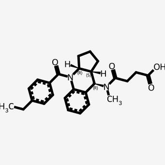 CCc1ccc(C(=O)N2c3ccccc3[C@H](N(C)C(=O)CCC(=O)O)[C@H]3CCC[C@H]32)cc1